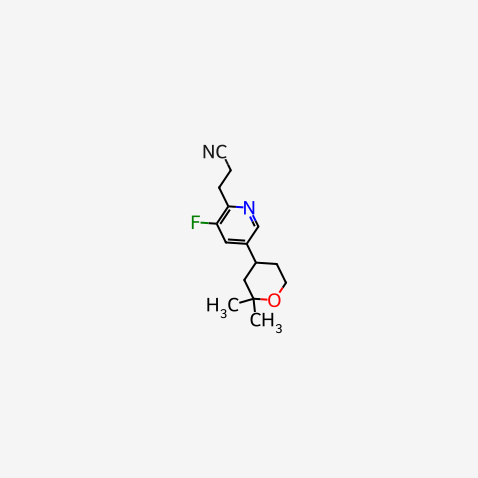 CC1(C)CC(c2cnc(CCC#N)c(F)c2)CCO1